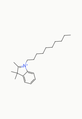 CCCCCCCCCC[N+]1=C(C)C(C)(C)c2ccccc21